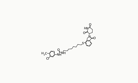 Cc1ccc(NC(=O)NCCCCCCCCSc2cccc3c2CN(C2CCC(=O)NC2=O)C3=O)cc1Cl